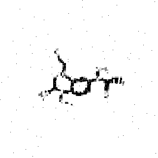 NC(=O)N(N)c1ccc(N(N)C(N)=O)c(OCCO)c1